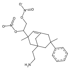 CC1(c2ccccc2)CC2=CC(C)(C(CO[N+](=O)[O-])O[N+](=O)[O-])CC(CCN)(C2)C1